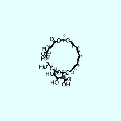 C[C@@H]1C/C=C/C=C/C=C/C=C/CC[C@@H]2O[C@](O)(C[C@@H](O)C[C@H]3O[C@@H]3/C=C/C(=O)O1)C[C@H](O)[C@H]2C(=O)O